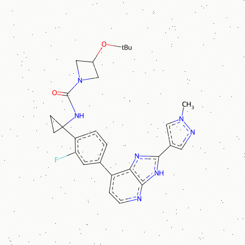 Cn1cc(-c2nc3c(-c4ccc(C5(NC(=O)N6CC(OC(C)(C)C)C6)CC5)c(F)c4)ccnc3[nH]2)cn1